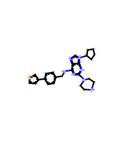 c1cc(-c2ccc(CNc3nc(N4CCNCC4)nc4c3ncn4C3CCCC3)cc2)cs1